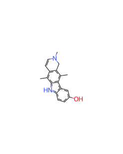 Cc1c2c(c(C)c3c1[nH]c1ccc(O)cc13)CN(C)C=C2